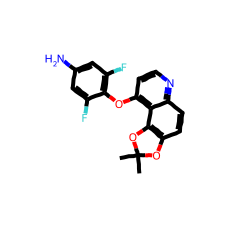 CC1(C)Oc2ccc3nccc(Oc4c(F)cc(N)cc4F)c3c2O1